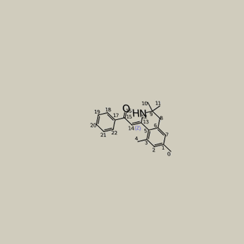 Cc1cc(C)c2c(c1)CC(C)(C)N/C2=C\C(=O)c1ccccc1